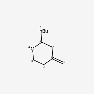 C=C1CCOC(CCCC)C1